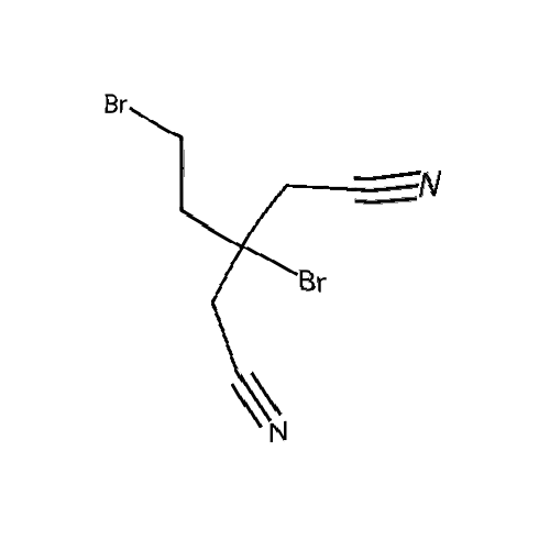 N#CCC(Br)(CC#N)CCBr